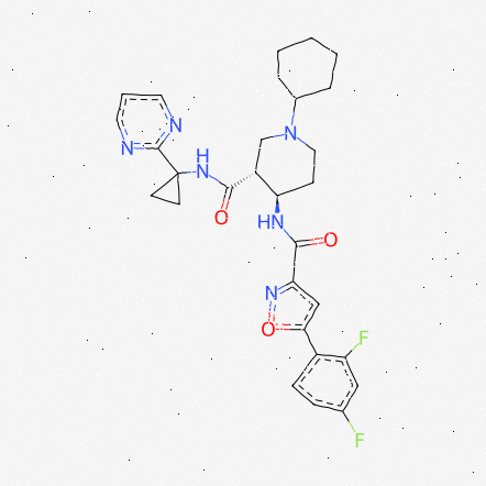 O=C(N[C@@H]1CCN(C2CCCCC2)C[C@H]1C(=O)NC1(c2ncccn2)CC1)c1cc(-c2ccc(F)cc2F)on1